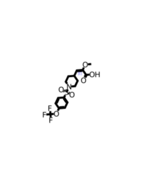 CO/C(=C/C1CCN(S(=O)(=O)c2ccc(OC(F)(F)F)cc2)CC1)C(=O)O